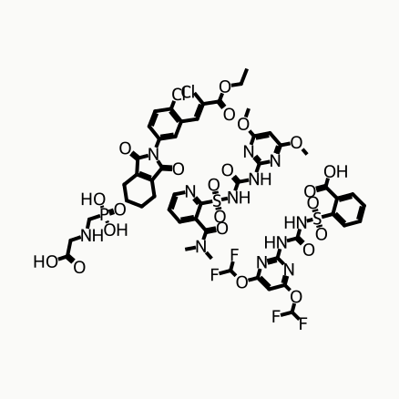 CCOC(=O)/C(Cl)=C/c1cc(N2C(=O)C3=C(CCCC3)C2=O)ccc1Cl.COc1cc(OC)nc(NC(=O)NS(=O)(=O)c2ncccc2C(=O)N(C)C)n1.O=C(Nc1nc(OC(F)F)cc(OC(F)F)n1)NS(=O)(=O)c1ccccc1C(=O)O.O=C(O)CNCP(=O)(O)O